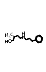 C[C@H](CO)CCNCCCc1ccccc1